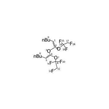 CCCC/C=C(\O/C(=C\CCCC)OC(F)(F)CF)OC(F)(F)CF